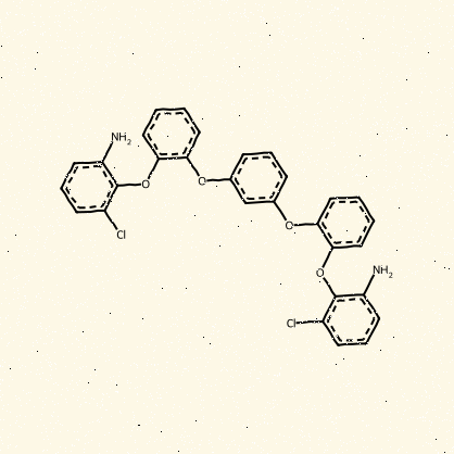 Nc1cccc(Cl)c1Oc1ccccc1Oc1cccc(Oc2ccccc2Oc2c(N)cccc2Cl)c1